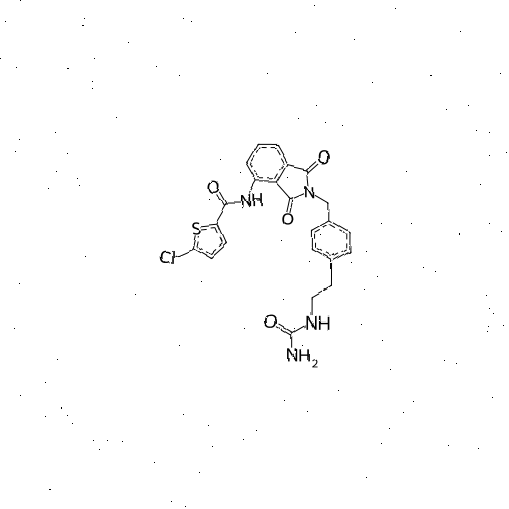 NC(=O)NCCc1ccc(CN2C(=O)c3cccc(NC(=O)c4ccc(Cl)s4)c3C2=O)cc1